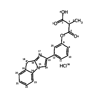 CC(C(=O)O)C(=O)Oc1cccc(-c2cn3c(n2)sc2ccccc23)c1.Cl